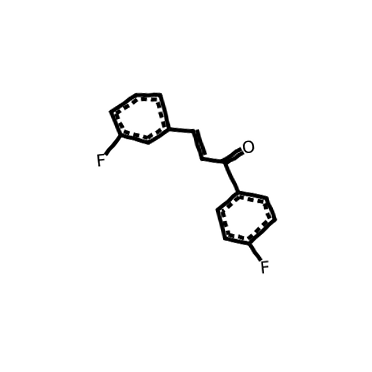 O=C(C=Cc1cccc(F)c1)c1ccc(F)cc1